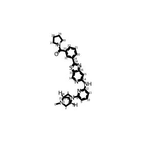 CN1C[C@@H]2C[C@H]1CN2c1cccc(Nc2cc3nc(-c4cccc(C(=O)N5CCCC5)c4)sc3cn2)n1